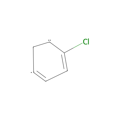 ClC1=CC=[C]C[C]1